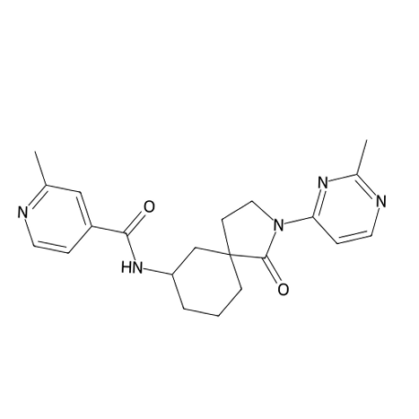 Cc1cc(C(=O)NC2CCCC3(CCN(c4ccnc(C)n4)C3=O)C2)ccn1